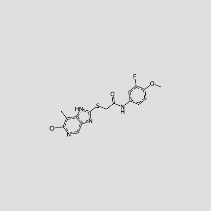 COc1ccc(NC(=O)CSc2nc3cnc(Cl)c(C)c3[nH]2)cc1F